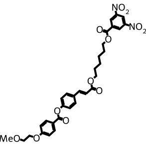 COCCOc1ccc(C(=O)Oc2ccc(C=CC(=O)OCCCCCCOC(=O)c3cc([N+](=O)[O-])cc([N+](=O)[O-])c3)cc2)cc1